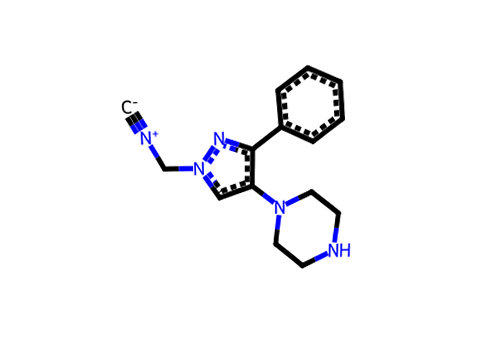 [C-]#[N+]Cn1cc(N2CCNCC2)c(-c2ccccc2)n1